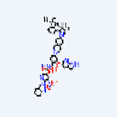 CC(C)c1ccccc1[C@H]1CCCN1C1CCC2(CC1)CCN(c1ccc(C(=O)NS(=O)(=O)c3cnc(NCC4CCCCC4)c([N+](=O)[O-])c3)c(Oc3cnc4[nH]ccc4c3)c1)CC2